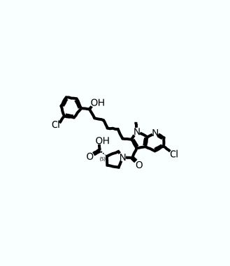 Cn1c(CCCCCC(O)c2cccc(Cl)c2)c(C(=O)N2CC[C@H](C(=O)O)C2)c2cc(Cl)cnc21